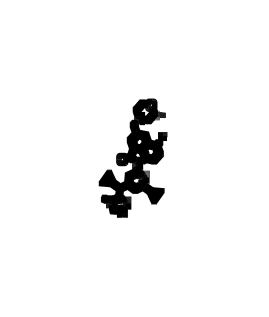 C[C@@H]1CN(Cc2cc3c4c(ccc(F)c4c2)N(c2cc(C(c4nncn4C)C4CC4)cc(C4CC4)n2)C3=O)CCO1